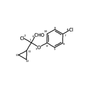 O=CC(Cl)(Oc1ccc(Cl)cc1)C1CC1